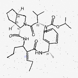 CC/C=C(\C(=O)N[C@@H](C)c1ccccc1)C(CCC)NC(=O)[C@@H]1[C@H]2CCC[C@H]2CN1C(=O)[C@@H](NC(=O)OC(C)C)C(C)C